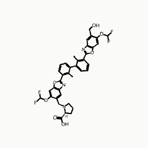 Cc1c(-c2nc3cc(CO)c(OC(F)F)cc3o2)cccc1-c1cccc(-c2nc3cc(CN4CCC[C@H]4C(=O)O)c(OC(F)F)cc3o2)c1C